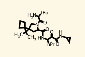 CCCC(NC(=O)C1CC2(CN1C(=O)C(N)C(C)(C)C)C(C)(C)C21CCC1)C(=O)C(=O)NC1CC1